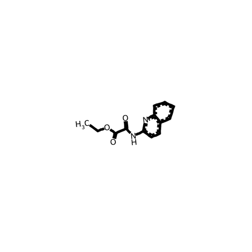 CCOC(=O)C(=O)Nc1ccc2ccccc2n1